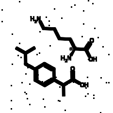 CC(C)Cc1ccc(C(C)C(=O)O)cc1.NCCCC[C@H](N)C(=O)O